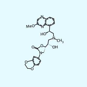 COc1cnc2cccc([C@H](O)CN(C)C[C@H](O)[C@@H]3CN(c4ccc5c(c4)OCCO5)C(=O)O3)c2n1